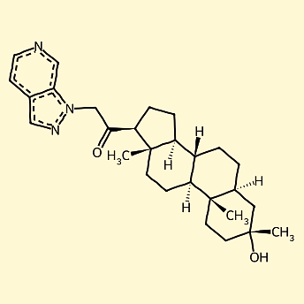 C[C@@]1(O)CC[C@@]2(C)[C@@H](CC[C@@H]3[C@@H]2CC[C@]2(C)[C@@H](C(=O)Cn4ncc5ccncc54)CC[C@@H]32)C1